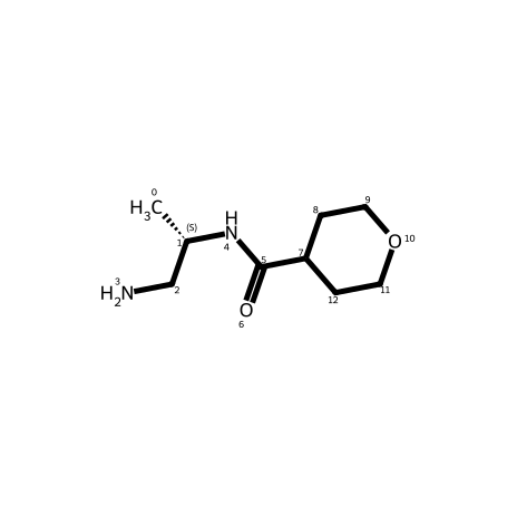 C[C@@H](CN)NC(=O)C1CCOCC1